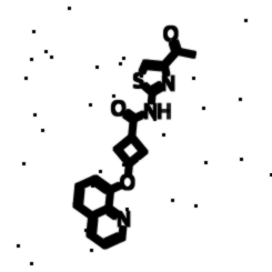 CC(=O)c1csc(NC(=O)C2CC(Oc3cccc4cccnc34)C2)n1